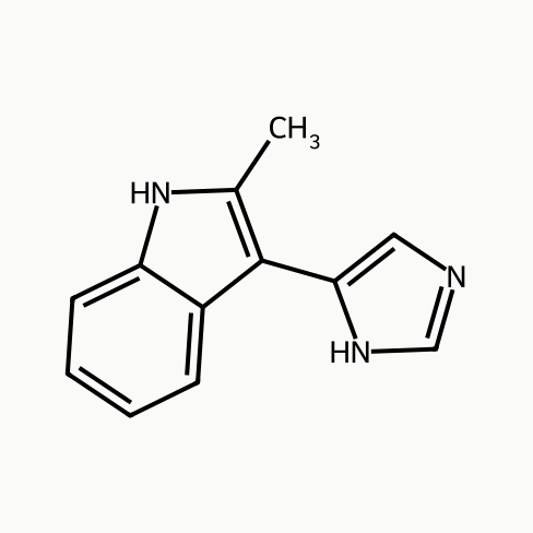 Cc1[nH]c2ccccc2c1-c1cnc[nH]1